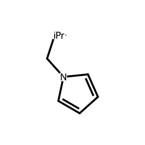 C[C](C)Cn1cccc1